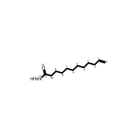 C=CCCCCCCCCCC(=O)CCCCCC